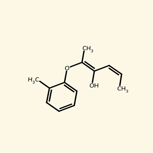 C/C=C\C(O)=C(C)Oc1ccccc1C